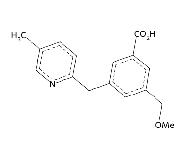 COCc1cc(Cc2ccc(C)cn2)cc(C(=O)O)c1